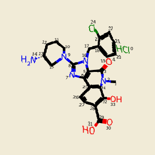 Cl.Cn1c(=O)c2c(nc(N3CCC[C@@H](N)C3)n2Cc2ccccc2Cl)c2ccc(C(=O)O)c(O)c21